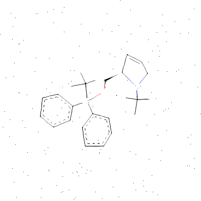 CC(C)(C)N1CC=C[C@@H]1CO[Si](c1ccccc1)(c1ccccc1)C(C)(C)C